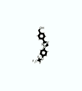 OCc1ccc(-c2ncn(-c3ccc(OC(F)(F)C(F)(F)F)cc3)n2)cc1